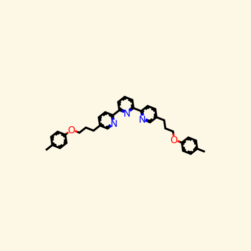 Cc1ccc(OCCCc2ccc(-c3cccc(-c4ccc(CCCOc5ccc(C)cc5)cn4)n3)nc2)cc1